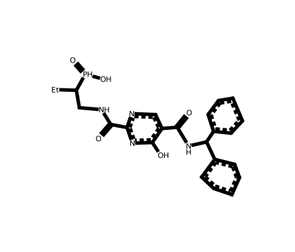 CCC(CNC(=O)c1ncc(C(=O)NC(c2ccccc2)c2ccccc2)c(O)n1)[PH](=O)O